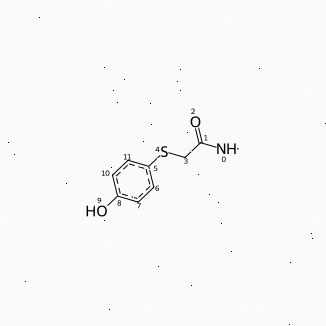 [NH]C(=O)CSc1ccc(O)cc1